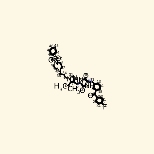 CC(C)c1c(/C=c2\[nH]c(=O)/c(=C/c3cccc(C(=O)c4ccc(F)cc4)c3)[nH]c2=O)ncn1CCCN1CCN(S(=O)(=O)c2ccccc2)CC1